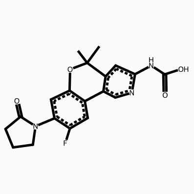 CC1(C)Oc2cc(N3CCCC3=O)c(F)cc2-c2cnc(NC(=O)O)cc21